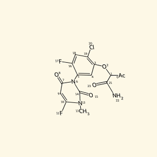 CC(=O)C(Oc1cc(-n2c(=O)cc(F)n(C)c2=O)c(F)cc1Cl)C(N)=O